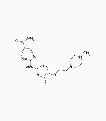 CN1CCN(CCOc2ccc(Nc3ncc(C(N)=O)cn3)cc2F)CC1